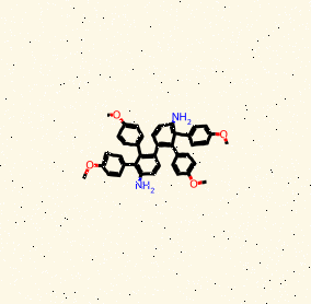 COc1ccc(-c2c(N)ccc(-c3ccc(N)c(-c4ccc(OC)cc4)c3-c3ccc(OC)cc3)c2-c2ccc(OC)cc2)cc1